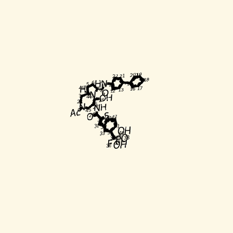 CC(=O)N1CC[C@H]2CC[C@@H](C(=O)Nc3ccc(-c4ccccc4)cc3)N2C(O)C(NC(=O)c2cc3cc(C(F)P(=O)(O)O)ccc3s2)C1